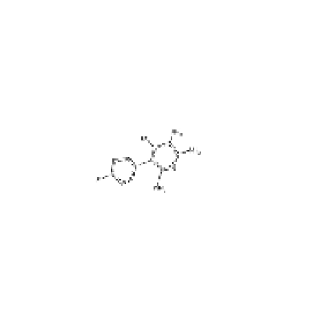 CCc1c(N)c(N)nc(N)c1-c1ccc(F)cc1